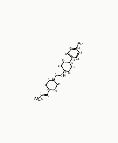 N#CC=CC1CCC(COC2CCC(c3ccc(F)cc3)CC2)CC1